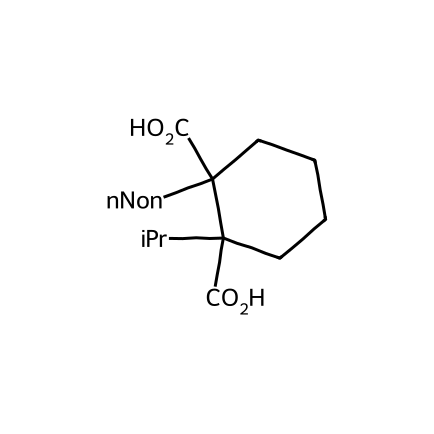 CCCCCCCCCC1(C(=O)O)CCCCC1(C(=O)O)C(C)C